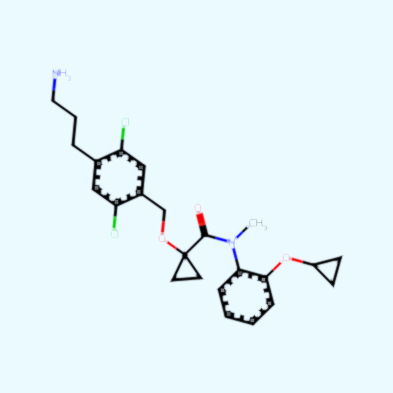 CN(C(=O)C1(OCc2cc(Cl)c(CCCN)cc2Cl)CC1)c1ccccc1OC1CC1